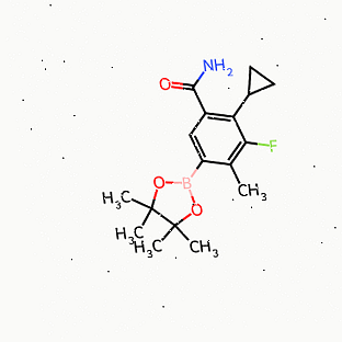 Cc1c(B2OC(C)(C)C(C)(C)O2)cc(C(N)=O)c(C2CC2)c1F